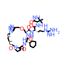 CC(C)(C)[C@H](NC(=O)[C@H](CCCNC(=N)N)NC(=O)[C@@H]1COCc2cn(nn2)CCCCC(=O)N2CCC[C@H]2C(=O)N[C@@H](C2CCCCC2)C(=O)N1)C(N)=O